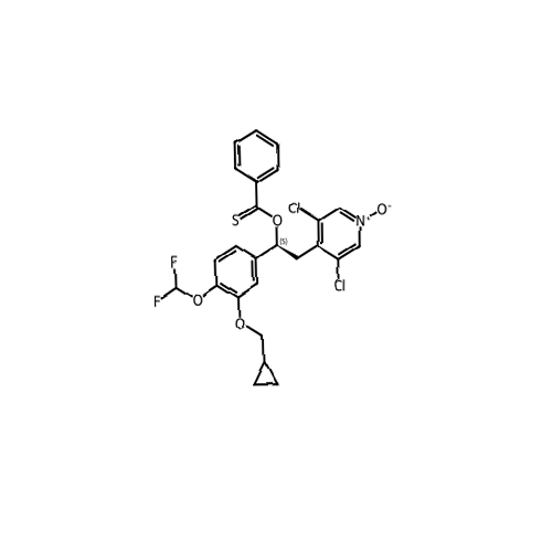 [O-][n+]1cc(Cl)c(C[C@H](OC(=S)c2ccccc2)c2ccc(OC(F)F)c(OCC3CC3)c2)c(Cl)c1